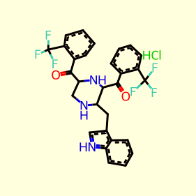 Cl.O=C(c1ccccc1C(F)(F)F)C1CNC(Cc2c[nH]c3ccccc23)C(C(=O)c2ccccc2C(F)(F)F)N1